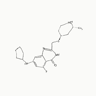 C[C@@H]1C[C@@H](SCc2nc3cc(NC4CCCC4)cc(F)c3c(=O)[nH]2)CCN1